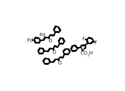 O=C(C=Cc1ccccc1)C=Cc1ccccc1.O=C(C=Cc1ccccc1)C=Cc1ccccc1.O=C(C=Cc1ccccc1)[C]([Pd])=Cc1cc[c]([Pd])cc1.O=C(O)N1CC(c2cc(F)ccc2F)=CC1c1ccccc1